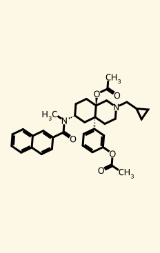 CC(=O)Oc1cccc([C@@]23CCN(CC4CC4)C[C@@]2(OC(C)=O)CC[C@@H](N(C)C(=O)c2ccc4ccccc4c2)C3)c1